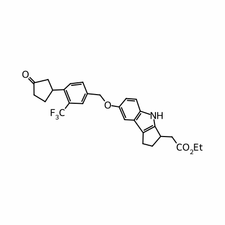 CCOC(=O)CC1CCc2c1[nH]c1ccc(OCc3ccc(C4CCC(=O)C4)c(C(F)(F)F)c3)cc21